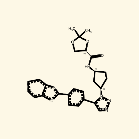 CC1(C)OC[C@@H](C(=O)N[C@H]2CC[C@@H](n3nncc3-c3ccc(-c4nc5ccccc5o4)cc3)C2)O1